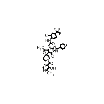 Cc1ncnc(C(=O)N2CCC[C@@]3(CC2)O[C@@H](C)c2c3c(=O)n3nc(C4=CCOCC4)nc3n2CC(=O)Nc2ccc(C(F)(F)F)cc2Cl)c1O